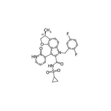 C[C@@H]1COc2c1ccc1c2c(-c2ccc[nH]c2=O)c(C(=O)NS(=O)(=O)C2CC2)n1Cc1cc(F)ccc1F